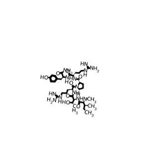 CC[C@H](C)[C@H](NC)C(=O)N[C@H](C(=O)N[C@@H](CCCNC(=N)N)C(=O)N1CCC[C@H]1C(=O)N[C@@H](CCCNC(=N)N)C(=O)N[C@@H](Cc1ccc(O)cc1)C(N)=O)[C@@H](C)O